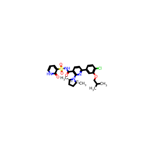 CC(C)COc1cc(-c2ccc(C(=O)NS(=O)(=O)c3ccc[nH]c3=O)c(N3[C@H](C)CC[C@@H]3C)n2)ccc1Cl